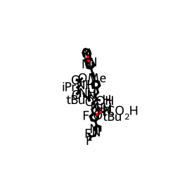 COC(=O)NC(C(=O)NC(C(=O)NC(Cc1ccc(C#Cc2cnc(N3CC4CC(C3)N4C3COC3)nc2)cc1)C(O)CN(Cc1c(F)cc(-c2ccn(CC(F)F)n2)cc1F)NC(=O)C(NC(=O)O)C(C)(C)C)C(C)(C)C)C(C)C